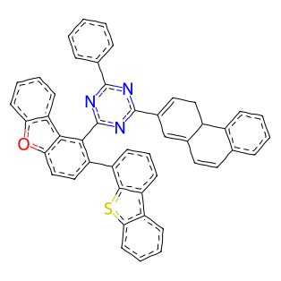 C1=Cc2ccccc2C2CC=C(c3nc(-c4ccccc4)nc(-c4c(-c5cccc6c5sc5ccccc56)ccc5oc6ccccc6c45)n3)C=C12